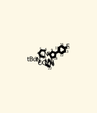 CC(C)(C)N(C(=O)O)[C@@H]1CCCN(C2CC(c3ccc(F)cc3)CC2n2nccn2)C1